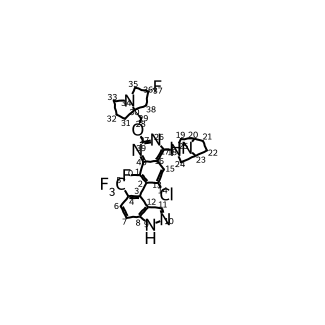 Fc1c(-c2c(C(F)(F)F)ccc3[nH]ncc23)c(Cl)cc2c(N3CC4CCC(C3)N4)nc(OC[C@@]34CCCN3C[C@H](F)C4)nc12